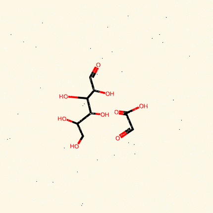 O=CC(=O)O.O=CC(O)C(O)C(O)C(O)CO